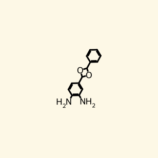 Nc1ccc(C2OC(c3ccccc3)O2)cc1N